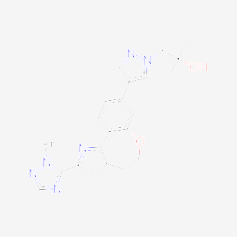 CCn1ncnc1-c1nc2c(s1)CCOc1cc(-c3cnn(CC(C)(C)O)c3)ccc1-2